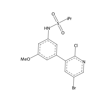 COc1cc(NS(=O)(=O)C(C)C)cc(-c2cc(Br)cnc2Cl)c1